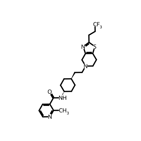 Cc1ncccc1C(=O)N[C@H]1CC[C@H](CCN2CCc3sc(CCC(F)(F)F)nc3C2)CC1